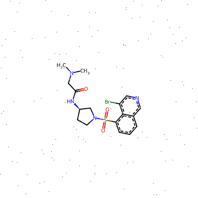 CN(C)CC(=O)N[C@@H]1CCN(S(=O)(=O)c2cccc3cncc(Br)c23)C1